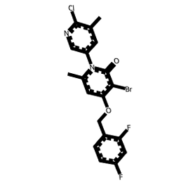 Cc1cc(-n2c(C)cc(OCc3ccc(F)cc3F)c(Br)c2=O)cnc1Cl